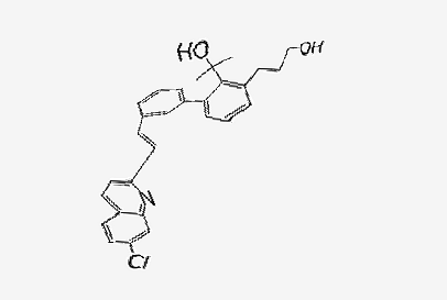 CC(C)(O)c1c(CCCO)cccc1-c1cccc(/C=C/c2ccc3ccc(Cl)cc3n2)c1